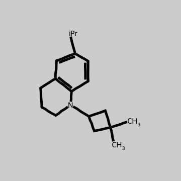 CC(C)c1ccc2c(c1)CCCN2C1CC(C)(C)C1